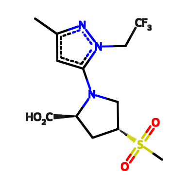 Cc1cc(N2C[C@H](S(C)(=O)=O)C[C@H]2C(=O)O)n(CC(F)(F)F)n1